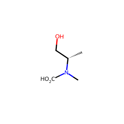 C[C@@H](CO)N(C)C(=O)O